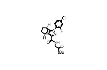 CC(C)(C)C(=O)CNC(=O)c1nn(-c2ccc(Cl)cc2F)c2c1[C@H]1CC[C@@H]2C1